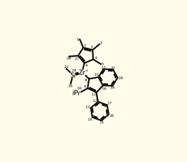 CC1=C(C)C(C)[C]([Zr]([CH]2C(C(C)C)=C(c3ccccc3)c3ccccc32)=[Si](C)C)=C1C